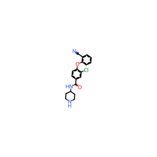 N#Cc1ccccc1Oc1ccc(C(=O)NC2CCNCC2)cc1Cl